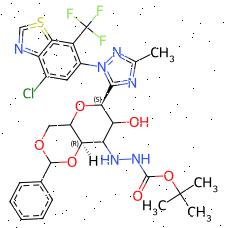 Cc1nc([C@@H]2OC3COC(c4ccccc4)O[C@@H]3C(NNC(=O)OC(C)(C)C)C2O)n(-c2cc(Cl)c3ncsc3c2C(F)(F)F)n1